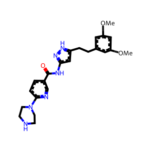 COc1cc(CCc2cc(NC(=O)c3ccc(N4CCNCC4)nc3)n[nH]2)cc(OC)c1